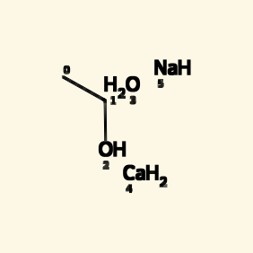 CCO.O.[CaH2].[NaH]